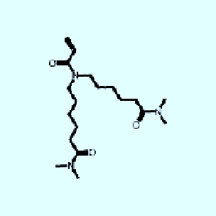 C=CC(=O)N(CCCCCC(=O)N(C)C)CCCCCC(=O)N(C)C